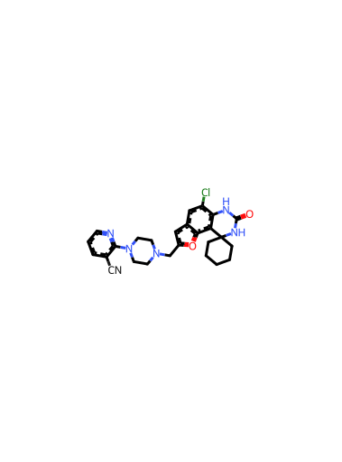 N#Cc1cccnc1N1CCN(Cc2cc3cc(Cl)c4c(c3o2)C2(CCCCC2)NC(=O)N4)CC1